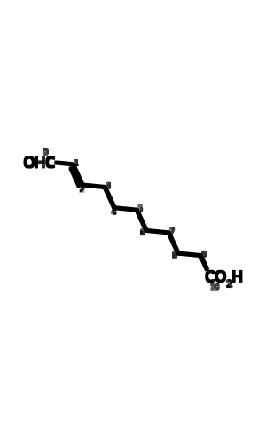 O=C/C=C/CCCCCCCC(=O)O